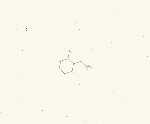 COCC1CCCCC1C(C)=O